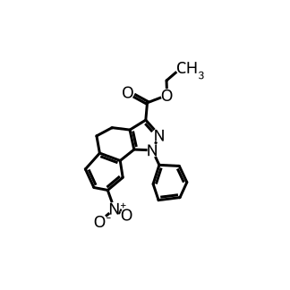 CCOC(=O)c1nn(-c2ccccc2)c2c1CCc1ccc([N+](=O)[O-])cc1-2